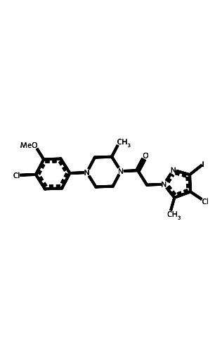 COc1cc(N2CCN(C(=O)Cn3nc(I)c(Cl)c3C)C(C)C2)ccc1Cl